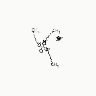 CCCCCCCCCC[n+]1ccc(C(=C(c2cc[n+](CCCCCCCCCC)cc2)c2cc[n+](CCCCCCCCCC)cc2)c2ccccc2)cc1.[Br-].[Br-].[Br-]